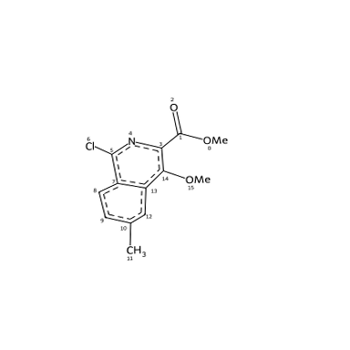 COC(=O)c1nc(Cl)c2ccc(C)cc2c1OC